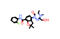 CCN(C)/C(CO)=N\N(C=O)c1ccc(C(=O)Nc2ccccc2F)c2c1CC(C)(C)O2